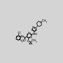 CN1CCC(n2cc(Nc3ncc(C(=O)Nc4c(Cl)cccc4Cl)c(OC4(C)CC4)n3)cn2)CC1